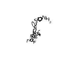 CC1(COc2c(N3CCN(C(=O)CSc4ccc(N)cc4)CC3)cnn(-c3cc(F)cc(F)c3)c2=O)CC1